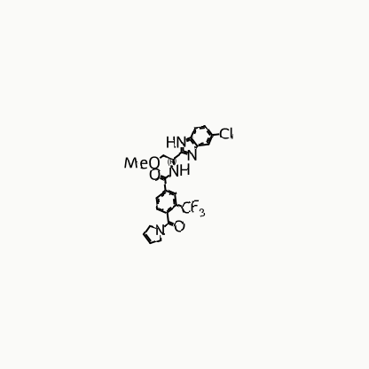 COC[C@H](NC(=O)c1ccc(C(=O)N2CC=CC2)c(C(F)(F)F)c1)c1nc2cc(Cl)ccc2[nH]1